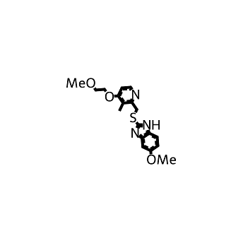 COCCOc1ccnc(CSc2nc3cc(OC)ccc3[nH]2)c1C